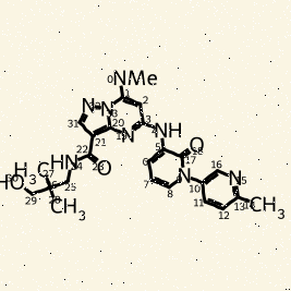 CNc1cc(Nc2cccn(-c3ccc(C)nc3)c2=O)nc2c(C(=O)NCC(C)(C)CO)cnn12